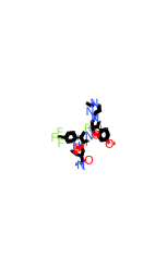 COC[C@H]1CN(C(=O)[C@]2(F)CN(c3ccnc(C)n3)C[C@H]2c2ccc(OC)cc2)C[C@@H]1c1ccc(C(F)(F)F)cc1N1CCC(C(=O)N(C)C)CC1